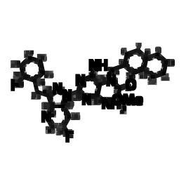 COC(=O)N(Cc1ccc2ccccc2c1)c1c(N)nc(-n2nc(Cc3ccccc3F)c3ncc(F)cc32)nc1N